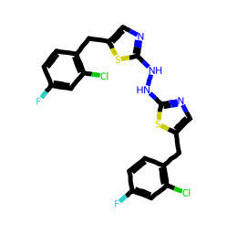 Fc1ccc(Cc2cnc(NNc3ncc(Cc4ccc(F)cc4Cl)s3)s2)c(Cl)c1